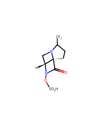 O=C1N(OS(=O)(=O)O)[C@@H]2CN3C(C(F)(F)F)CC[C@]123